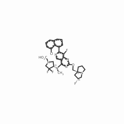 CN(c1nc(OC[C@@]23CCCN2C[C@H](F)C3)nc2c(F)c(-c3cccc4cccc(Cl)c34)ncc12)[C@H]1CN(C(=O)O)CC1(F)F